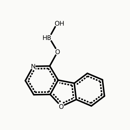 OBOc1nccc2oc3ccccc3c12